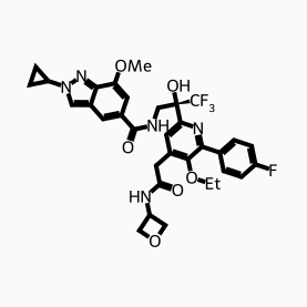 CCOc1c(CC(=O)NC2COC2)cc([C@@](O)(CNC(=O)c2cc(OC)c3nn(C4CC4)cc3c2)C(F)(F)F)nc1-c1ccc(F)cc1